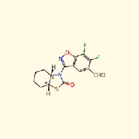 O=Cc1cc2c(N3C(=O)S[C@@H]4CCCC[C@@H]43)noc2c(F)c1F